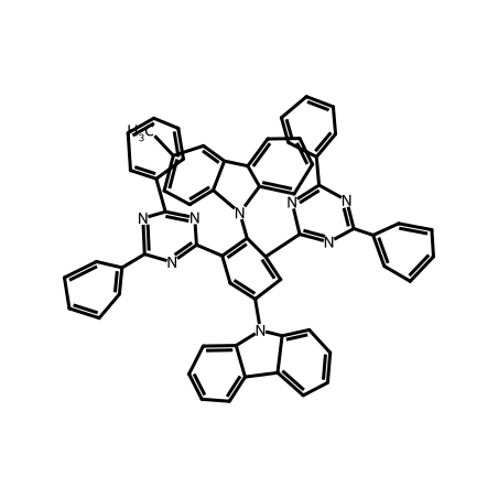 Cc1ccc2c(c1)c1ccccc1n2-c1c(-c2nc(-c3ccccc3)nc(-c3ccccc3)n2)cc(-n2c3ccccc3c3ccccc32)cc1-c1nc(-c2ccccc2)nc(-c2ccccc2)n1